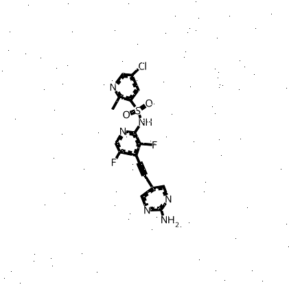 Cc1ncc(Cl)cc1S(=O)(=O)Nc1ncc(F)c(C#Cc2cnc(N)nc2)c1F